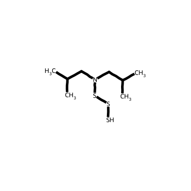 CC(C)CN(CC(C)C)SSS